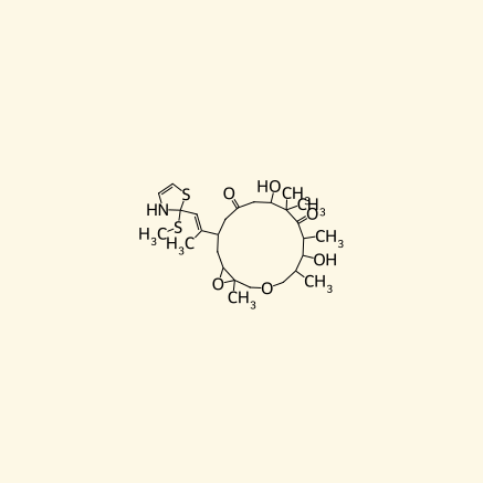 CSC1(/C=C(\C)C2CC(=O)CC(O)C(C)(C)C(=O)C(C)C(O)C(C)COCC3(C)OC3C2)NC=CS1